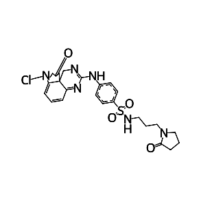 O=C1CCN(Cl)C2=CC=CC3=NC(Nc4ccc(S(=O)(=O)NCCCN5CCCC5=O)cc4)=NCC23C1